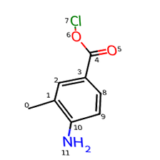 Cc1cc(C(=O)OCl)ccc1N